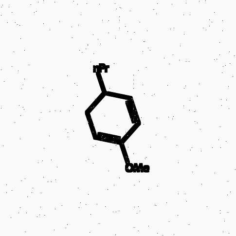 CCCC1C=CC(OC)=CC1